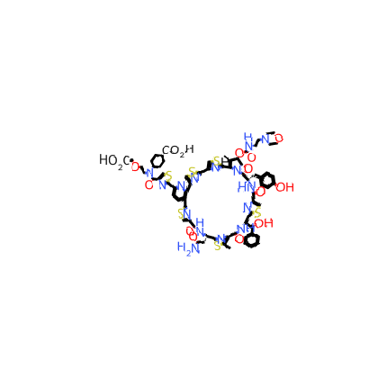 Cc1sc2nc1C(=O)N[C@@H]([C@H](O)c1ccccc1)c1nc(cs1)C(=O)N[C@@H](Cc1ccc(O)cc1)C(=O)N1C[C@H](OC(=O)NCCN3CCOCC3)[C@H](C)[C@H]1c1nc(cs1)-c1nc(cs1)-c1nc(-c3nc(C(=O)N(CCOCC(=O)O)C4CCC(C(=O)O)CC4)cs3)ccc1-c1nc(cs1)C(=O)N[C@H]2CC(N)=O